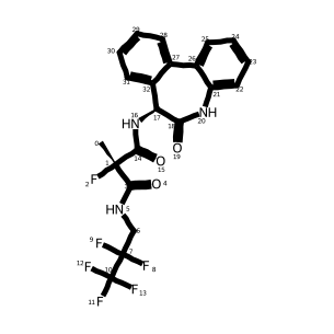 C[C@](F)(C(=O)NCC(F)(F)C(F)(F)F)C(=O)N[C@@H]1C(=O)Nc2ccccc2-c2ccccc21